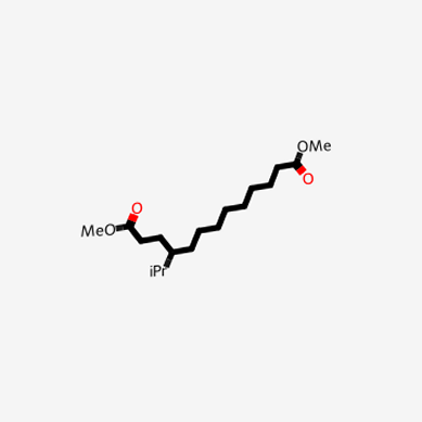 COC(=O)CCCCCCCCC(CCC(=O)OC)C(C)C